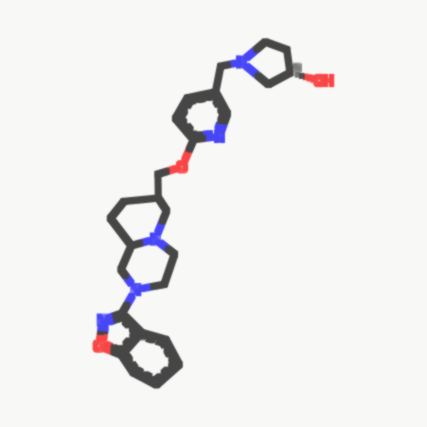 O[C@H]1CCN(Cc2ccc(OCC3CCC4CN(c5noc6ccccc56)CCN4C3)nc2)C1